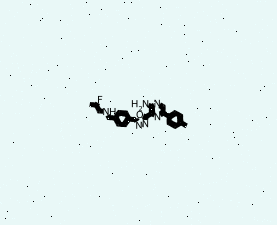 Cc1ccc(-c2cnc(N)c(-c3nnc(-c4ccc(CNCC(C)F)cc4)o3)n2)cc1